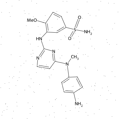 COc1ccc(S(N)(=O)=O)cc1Nc1nccc(N(C)c2ccc(N)cc2)n1